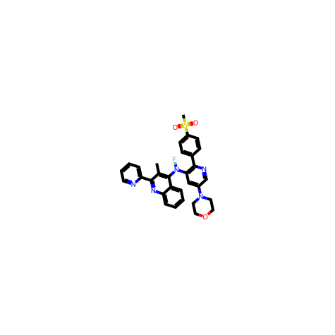 Cc1c(-c2ccccn2)nc2ccccc2c1N(F)c1cc(N2CCOCC2)cnc1-c1ccc(S(C)(=O)=O)cc1